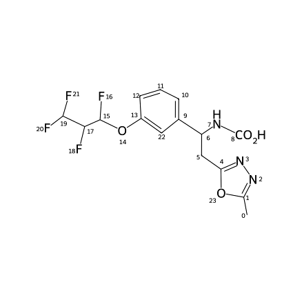 Cc1nnc(CC(NC(=O)O)c2cccc(OC(F)C(F)C(F)F)c2)o1